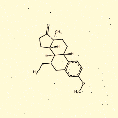 CC[C@@H]1Cc2cc(OC)ccc2[C@H]2CC[C@]3(C)C(=O)CC[C@H]3[C@H]12